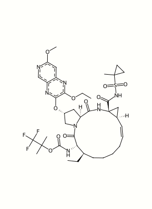 CCOc1nc2cc(OC)ncc2nc1O[C@@H]1C[C@H]2C(=O)N[C@]3(C(=O)NS(=O)(=O)C4(C)CC4)C[C@H]3/C=C\CCCC[C@@H](CC)[C@H](NC(=O)OC(C)(C)C(F)(F)F)C(=O)N2C1